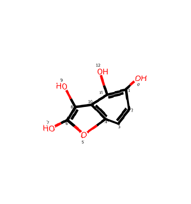 Oc1ccc2oc(O)c(O)c2c1O